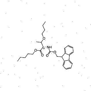 CCCCCOC(=O)[C@@H](NC(=O)OCC1c2ccccc2-c2ccccc21)C(C)OCCCC